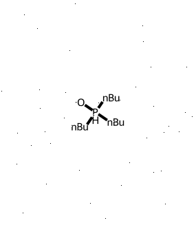 CCCC[PH]([O])(CCCC)CCCC